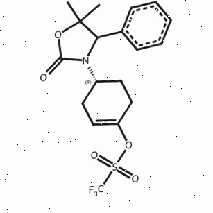 CC1(C)OC(=O)N([C@H]2CC=C(OS(=O)(=O)C(F)(F)F)CC2)C1c1ccccc1